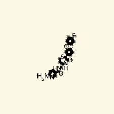 Nc1ccc(C(=O)NC[C@@H]2CCS[C@H](c3cccc(Oc4ccc(F)cc4)c3)C(=O)N2)cn1